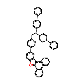 c1ccc(-c2ccc(C(Cc3ccc(-c4ccc5oc6c7ccccc7c7ccccc7c6c5c4)cc3)c3ccc(-c4ccccc4)cc3)cc2)cc1